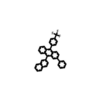 FC(F)(F)c1ccc(-c2c3ccccc3c(-c3ccc4ccccc4c3)c3cc(-c4ccccc4)ccc23)cc1